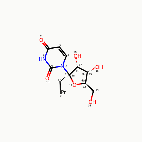 CC(C)C[C@@]1(n2ccc(=O)[nH]c2=O)O[C@H](CO)[C@@H](O)[C@H]1O